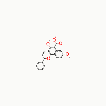 COC(=O)c1c(OC)c2c(c3ccc(OC)cc13)OC(c1ccccc1)C=C2